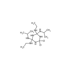 CCNC1(NC(C)C)NC(Cl)(Cl)NC(NCC)(NC(C)C)N1